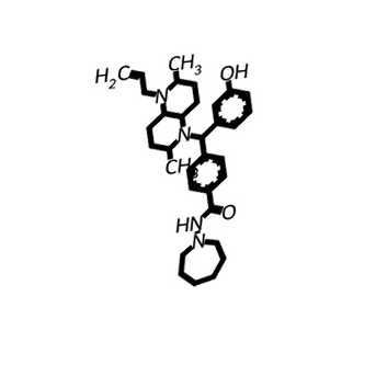 C=CCN1C(C)CCC2C1CCC(C)N2C(c1ccc(C(=O)NN2CCCCCC2)cc1)c1cccc(O)c1